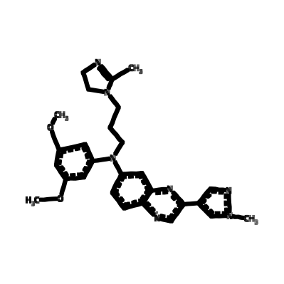 COc1cc(OC)cc(N(CCCN2CCN=C2C)c2ccc3ncc(-c4cnn(C)c4)nc3c2)c1